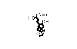 CCCCCCCCCC(O)C=CC1C(O)C[C@H]2[C@H]1CC21OCCO1